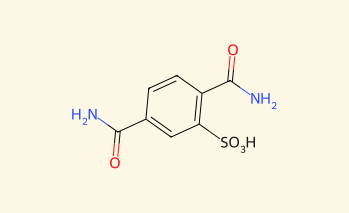 NC(=O)c1ccc(C(N)=O)c(S(=O)(=O)O)c1